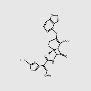 CON=C(C(=O)NC1C(=O)N2C(C(=O)[O-])=C(C[n+]3cccc4occc43)CS[C@@H]12)c1csc(N)n1